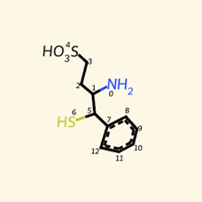 NC(CCS(=O)(=O)O)C(S)c1ccccc1